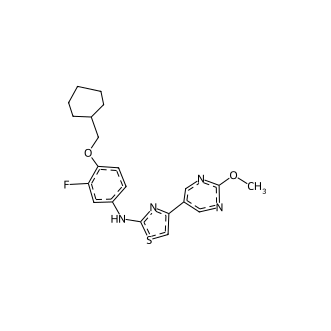 COc1ncc(-c2csc(Nc3ccc(OCC4CCCCC4)c(F)c3)n2)cn1